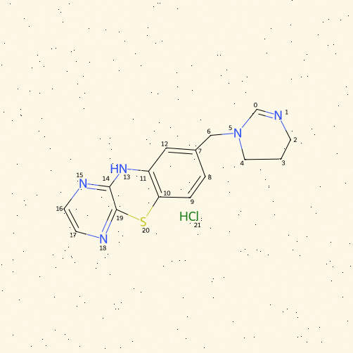 C1=NCCCN1Cc1ccc2c(c1)Nc1nccnc1S2.Cl